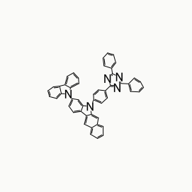 c1ccc(-c2nc(-c3ccccc3)nc(-c3ccc(-n4c5cc(-n6c7ccccc7c7ccccc76)ccc5c5cc6ccccc6cc54)cc3)n2)cc1